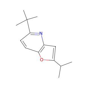 CC(C)c1cc2nc(C(C)(C)C)ccc2o1